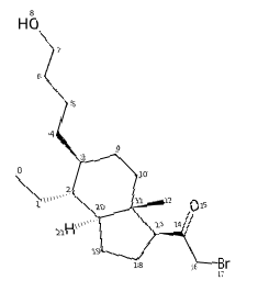 CC[C@@H]1[C@@H](CCCCO)CC[C@]2(C)[C@@H](C(=O)CBr)CC[C@@H]12